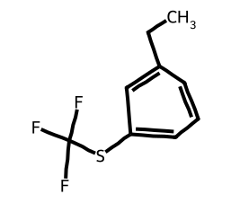 CCc1cccc(SC(F)(F)F)c1